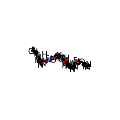 C=CC(=O)N1C[C@@H](CN(C)c2ncc3ncnc(N/C(C)=C(F)/C(C)=C(\C=C)Oc4ccn5nc(/C=C\C(=O)N6C[C@H]7CC[C@@H]6CN7c6ncc7ncnc(Nc8ccc(Oc9ccn%10ncnc%10c9)c(C)c8F)c7n6)nc5c4)c3n2)[C@@H](C)C1